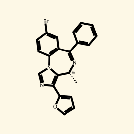 C[C@H]1N=C(c2ccccc2)c2cc(Br)ccc2-n2cnc(-c3ccco3)c21